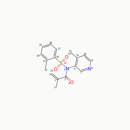 C=C(C)C(=O)N(c1cnccc1C)S(=O)(=O)c1ccccc1C